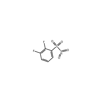 O=[SH](=O)S(=O)(=O)c1cccc(F)c1F